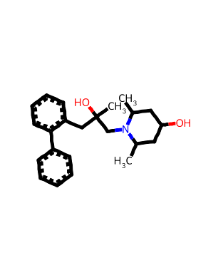 CC1CC(O)CC(C)N1CC(C)(O)Cc1ccccc1-c1ccccc1